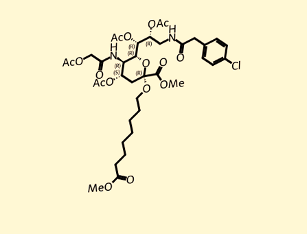 COC(=O)CCCCCCCO[C@]1(C(=O)OC)C[C@H](OC(C)=O)[C@@H](NC(=O)COC(C)=O)[C@H]([C@H](OC(C)=O)[C@@H](CNC(=O)Cc2ccc(Cl)cc2)OC(C)=O)O1